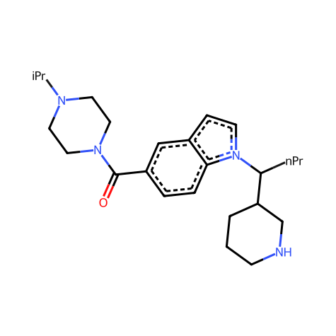 CCCC(C1CCCNC1)n1ccc2cc(C(=O)N3CCN(C(C)C)CC3)ccc21